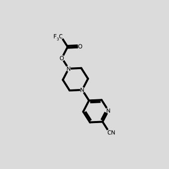 N#Cc1ccc(N2CCN(OC(=O)C(F)(F)F)CC2)cn1